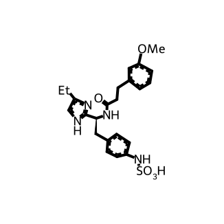 CCc1c[nH]c([C@H](Cc2ccc(NS(=O)(=O)O)cc2)NC(=O)CCc2cccc(OC)c2)n1